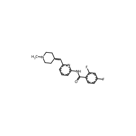 CN1CCC(=Cc2cccc(NC(=O)c3ccc(F)cc3F)n2)CC1